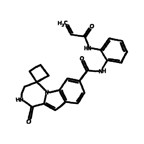 C=CC(=O)Nc1ccccc1NC(=O)c1ccc2cc3n(c2c1)C1(CCC1)CNC3=O